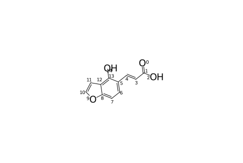 O=C(O)C=Cc1ccc2occc2c1O